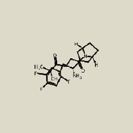 CN(C)C(=O)CCC(=O)N1[C@@H]2CC[C@H]1CC([C@H](N)Cc1cc(F)c(F)cc1F)C2